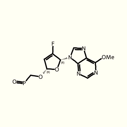 COc1ncnc2c1ncn2[C@@H]1O[C@H](OCP=O)C=C1F